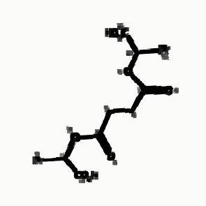 CC(C)C(OC(=O)CCC(=O)OC(C(=O)O)C(C)C)C(=O)O